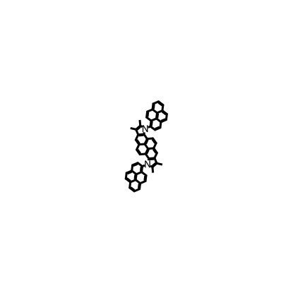 Cc1c(C)n(-c2ccc3ccc4cccc5ccc2c3c45)c2c1cc1ccc3c4c(ccc2c14)cc1c(C)c(C)n(-c2ccc4ccc5cccc6ccc2c4c56)c13